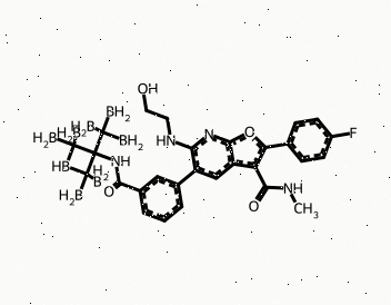 BC(B)(B)C1(NC(=O)c2cccc(-c3cc4c(C(=O)NC)c(-c5ccc(F)cc5)oc4nc3NCCO)c2)C(B)(B)BC1(B)B